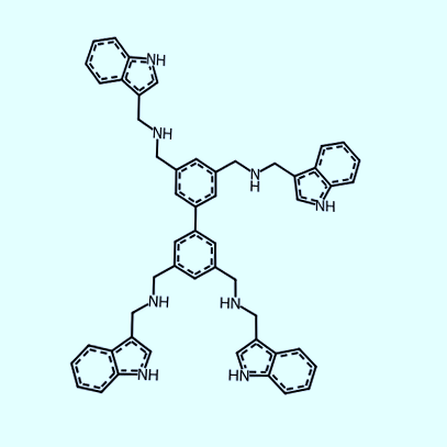 c1ccc2c(CNCc3cc(CNCc4c[nH]c5ccccc45)cc(-c4cc(CNCc5c[nH]c6ccccc56)cc(CNCc5c[nH]c6ccccc56)c4)c3)c[nH]c2c1